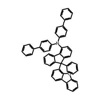 c1ccc(-c2ccc(N(c3ccc(-c4ccccc4)cc3)c3cccc4c3-c3ccccc3C4(c3ccccc3)c3cccc4c3oc3ccccc34)cc2)cc1